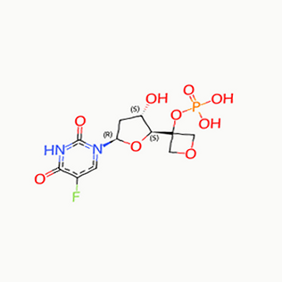 O=c1[nH]c(=O)n([C@H]2C[C@H](O)[C@@H](C3(OP(=O)(O)O)COC3)O2)cc1F